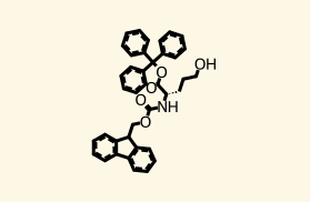 O=C(N[C@@H](CCCO)C(=O)OC(c1ccccc1)(c1ccccc1)c1ccccc1)OCC1c2ccccc2-c2ccccc21